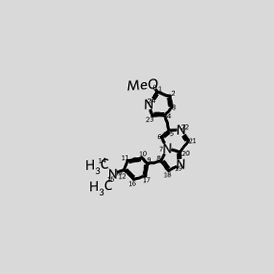 COc1ccc(-c2cn3c(-c4ccc(N(C)C)cc4)cnc3cn2)cn1